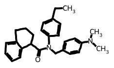 CCc1ccc(N(Cc2ccc(N(C)C)cc2)C(=O)C2CCCc3ccccc32)cc1